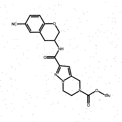 CC(C)(C)OC(=O)N1CCn2nc(C(=O)NC3COc4ccc(C#N)cc4C3)cc2C1